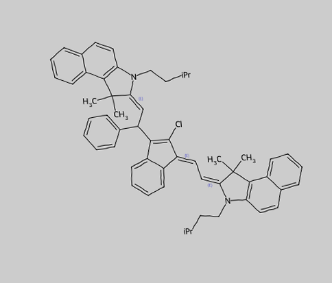 CC(C)CCN1/C(=C/C=C2/C(Cl)=C(C(/C=C3/N(CCC(C)C)c4ccc5ccccc5c4C3(C)C)c3ccccc3)c3ccccc32)C(C)(C)c2c1ccc1ccccc21